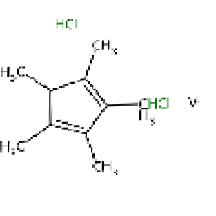 CC1=C(C)C(C)C(C)=C1C.Cl.Cl.[V]